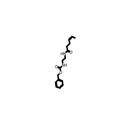 C/C=C\CCC(=O)NCCNC(=O)OCc1ccccc1